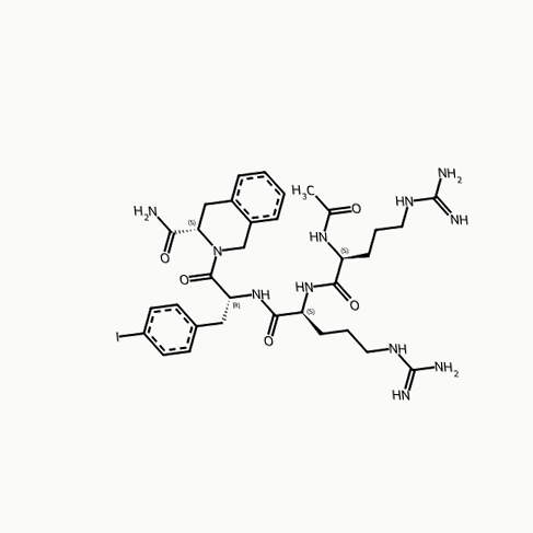 CC(=O)N[C@@H](CCCNC(=N)N)C(=O)N[C@@H](CCCNC(=N)N)C(=O)N[C@H](Cc1ccc(I)cc1)C(=O)N1Cc2ccccc2C[C@H]1C(N)=O